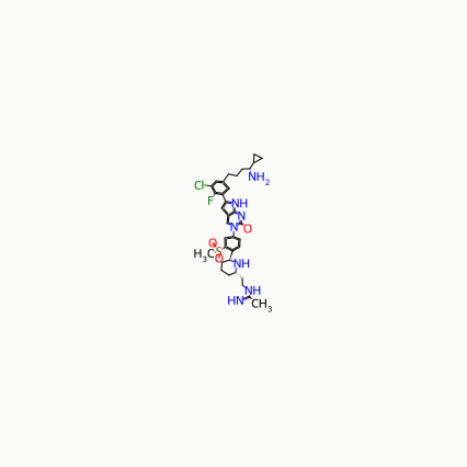 CC(=N)NCC[C@@H]1CCC[C@@H](c2ccc(-n3cc4cc(-c5cc(CCC[C@@H](N)C6CC6)cc(Cl)c5F)[nH]c4nc3=O)cc2S(C)(=O)=O)N1